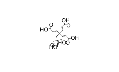 O=C(O)C=CC(C=CC(=O)O)(C=CC(=O)O)CC(CO)(CO)CO